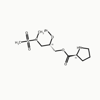 CC(C)O[C@H](COC(=O)[C@@H]1CCCN1)CN(C)S(C)(=O)=O